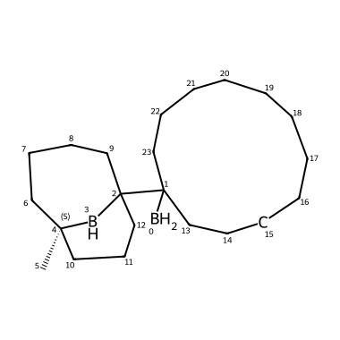 BC1(C23B[C@](C)(CCCC2)CCC3)CCCCCCCCCCC1